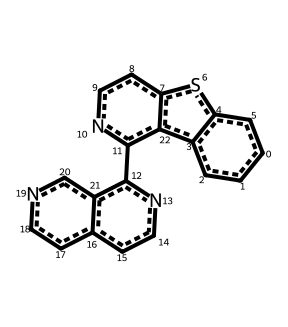 c1ccc2c(c1)sc1ccnc(-c3nccc4ccncc34)c12